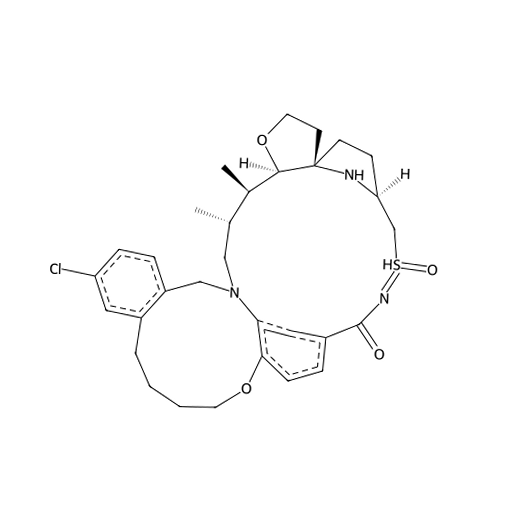 C[C@H]1[C@H]2OCC[C@]23CC[C@@H](C/[SH](=O)=N\C(=O)c2ccc4c(c2)N(Cc2ccc(Cl)cc2CCCCO4)C[C@@H]1C)N3